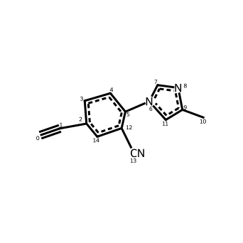 C#Cc1ccc(-n2cnc(C)c2)c(C#N)c1